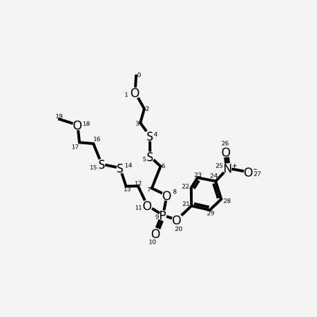 COCCSSCCOP(=O)(OCCSSCCOC)Oc1ccc([N+](=O)[O-])cc1